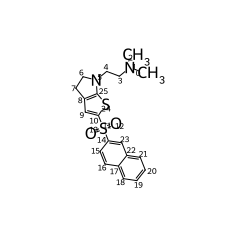 CN(C)CCN1CCc2cc(S(=O)(=O)c3ccc4ccccc4c3)sc21